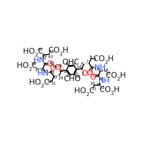 O=Cc1cc(C(=O)C[C@H](CC(=O)O)C(=O)N[C@H](CC(=O)O)C(=O)N[C@H](CC(=O)O)C(=O)O)c(C=O)cc1C(=O)C[C@H](CC(=O)O)C(=O)N[C@H](CC(=O)O)C(=O)N[C@H](CC(=O)O)C(=O)O